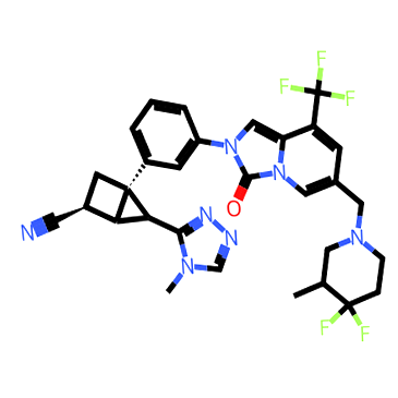 CC1CN(Cc2cc(C(F)(F)F)c3cn(-c4cccc([C@@]56C[C@H](C#N)C5C6c5nncn5C)c4)c(=O)n3c2)CCC1(F)F